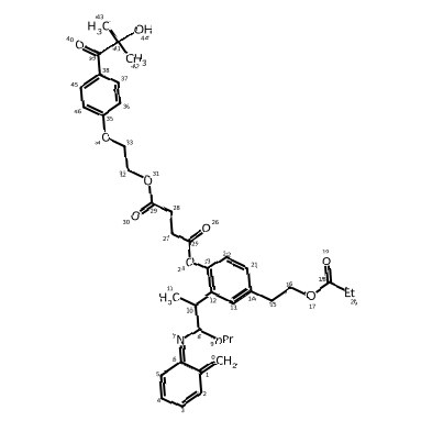 C=C1C=CC=C/C1=N/C(CCC)C(C)c1cc(CCOC(=O)CC)ccc1OC(=O)CCC(=O)OCCOc1ccc(C(=O)C(C)(C)O)cc1